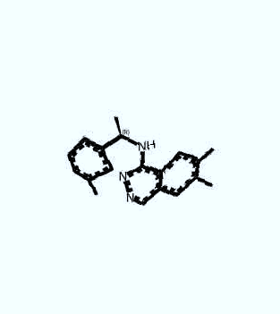 Cc1cccc([C@@H](C)Nc2nncc3cc(C)c(C)cc23)c1